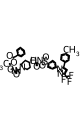 Cc1ccc(-c2cc(C(F)(F)F)nn2-c2ccc(S(=O)(=O)NC(=O)OC3CCN(n4on4OC(C)OC(=O)c4ccccc4)CC3)cc2)cc1